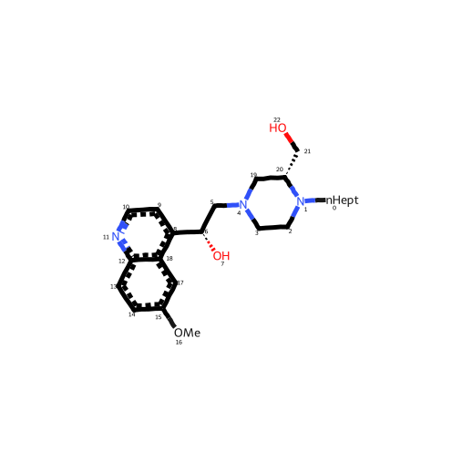 CCCCCCCN1CCN(C[C@H](O)c2ccnc3ccc(OC)cc23)C[C@@H]1CO